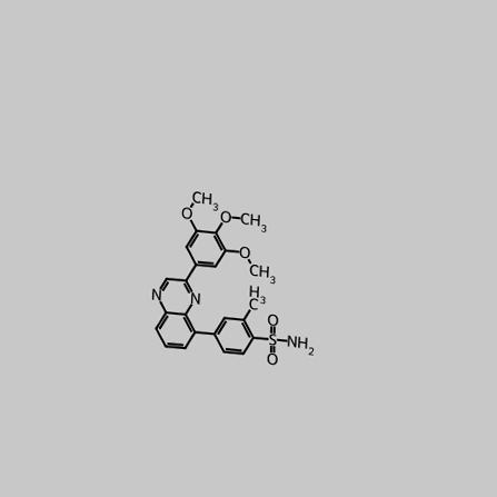 COc1cc(-c2cnc3cccc(-c4ccc(S(N)(=O)=O)c(C)c4)c3n2)cc(OC)c1OC